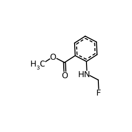 COC(=O)c1ccccc1NCF